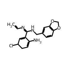 C=C/N=C(/NCc1ccc2c(c1)OCO2)C1=CC(Cl)CC=C1N